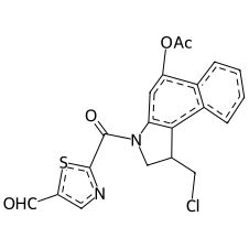 CC(=O)Oc1cc2c(c3ccccc13)C(CCl)CN2C(=O)c1ncc(C=O)s1